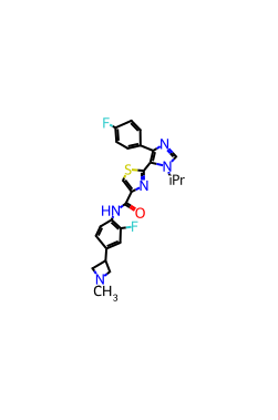 CC(C)n1cnc(-c2ccc(F)cc2)c1-c1nc(C(=O)Nc2ccc(C3CN(C)C3)cc2F)cs1